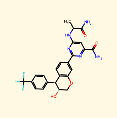 CC(Nc1cc(C(N)=O)nc(-c2ccc3c(c2)OC[C@H](O)[C@H]3c2ccc(C(F)(F)F)cc2)n1)C(N)=O